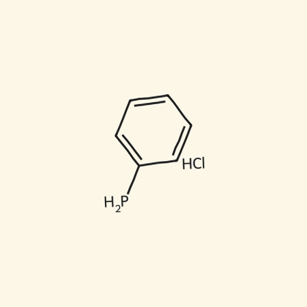 Cl.Pc1ccccc1